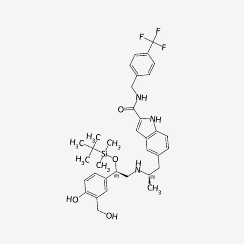 C[C@H](Cc1ccc2[nH]c(C(=O)NCc3ccc(C(F)(F)F)cc3)cc2c1)NC[C@H](O[Si](C)(C)C(C)(C)C)c1ccc(O)c(CO)c1